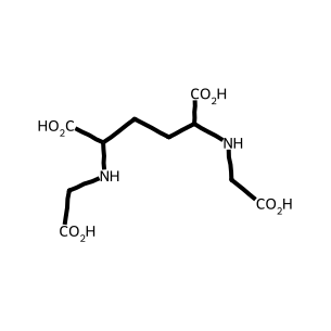 O=C(O)CNC(CCC(NCC(=O)O)C(=O)O)C(=O)O